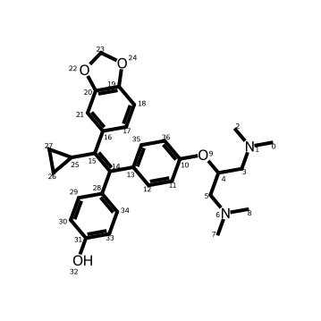 CN(C)CC(CN(C)C)Oc1ccc(C(=C(c2ccc3c(c2)OCO3)C2CC2)c2ccc(O)cc2)cc1